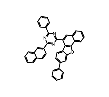 c1ccc(-c2ccc3c(c2)oc2c4ccccc4cc(-c4nc(-c5ccccc5)nc(-c5ccc6ccccc6c5)n4)c32)cc1